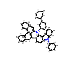 c1ccc(-c2cccc(N(c3cc4ccccc4c4c3ccc3ccccc34)c3cccc4c3c3ccccc3n4-c3ccccc3)c2)cc1